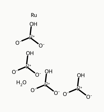 O.[O-][I+2]([O-])O.[O-][I+2]([O-])O.[O-][I+2]([O-])O.[O-][I+2]([O-])O.[Ru]